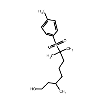 Cc1ccc(S(=O)(=O)C(C)(C)CCCC(C)CCO)cc1